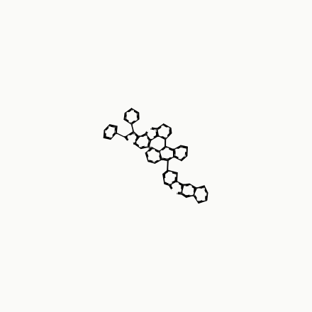 c1ccc(-c2sc3ccc4c(sc5cccc(-c6c7ccccc7c(-c7ccc8oc9cc%10ccccc%10cc9c8c7)c7ccccc67)c54)c3c2-c2ccccc2)cc1